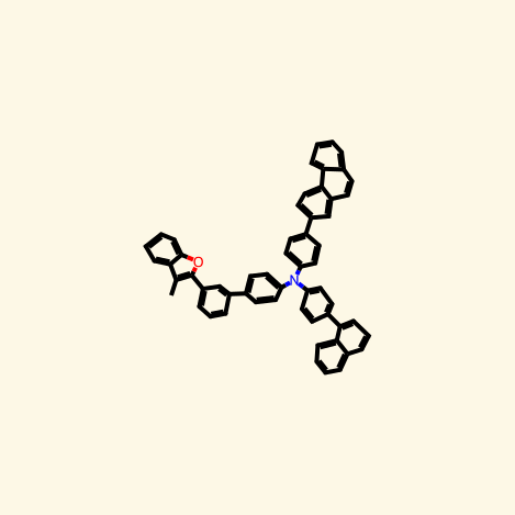 Cc1c(-c2cccc(-c3ccc(N(c4ccc(-c5ccc6c(ccc7ccccc76)c5)cc4)c4ccc(-c5cccc6ccccc56)cc4)cc3)c2)oc2ccccc12